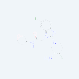 N[C@@H]1CN(c2nc3ccc(F)cc3n2CC(=O)NC2CCOC2)CC[C@H]1F